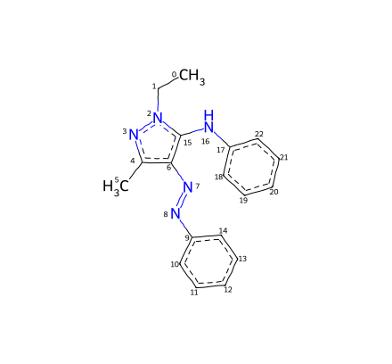 CCn1nc(C)c(N=Nc2ccccc2)c1Nc1ccccc1